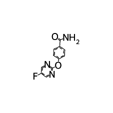 NC(=O)c1ccc(Oc2ncc(F)cn2)cc1